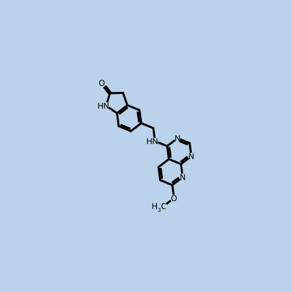 COc1ccc2c(NCc3ccc4c(c3)CC(=O)N4)ncnc2n1